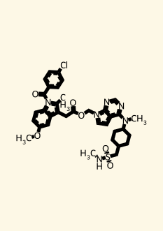 CNS(=O)(=O)CC1CCC(N(C)c2ncnc3c2ccn3COC(=O)Cc2c(C)n(C(=O)c3ccc(Cl)cc3)c3ccc(OC)cc23)CC1